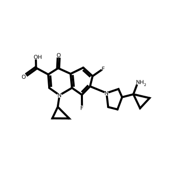 NC1(C2CCN(c3c(F)cc4c(=O)c(C(=O)O)cn(C5CC5)c4c3F)C2)CC1